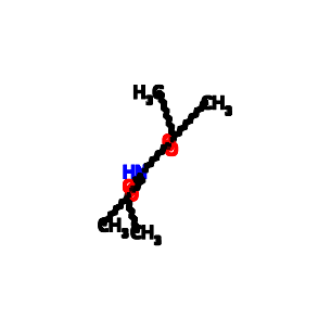 CCCCCCCCCCCC(CCCCCCCCCCC)COC(=O)CCCCCCCCNC1CC(CC(=O)OCC(CCCCCCCC)CCCCCCCC)C1